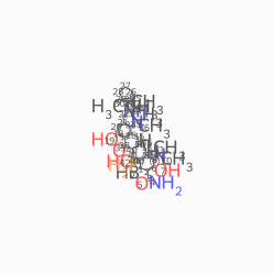 B=C1C(C(N)=O)=C(O)[C@@H](N(C)C)[C@@H]2C[C@@H]3Cc4c(c(O)cc(CN[C@H]5CC6CCC5(C)C6(C)C)c4N(C)C)C(=O)C3=C(O)[C@]12P